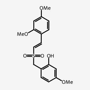 COc1ccc(CS(=O)(=O)C=Cc2ccc(OC)cc2OC)c(O)c1